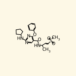 CC(C=CS(C)(=O)=O)NC(=O)c1cnc(NC2CCCC2)nc1Oc1ccccc1